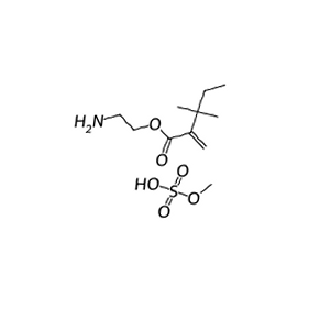 C=C(C(=O)OCCN)C(C)(C)CC.COS(=O)(=O)O